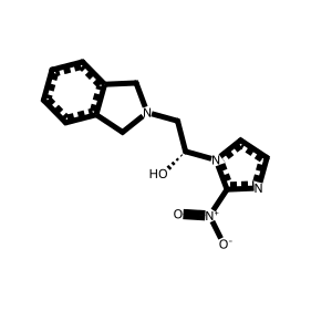 O=[N+]([O-])c1nccn1[C@H](O)CN1Cc2ccccc2C1